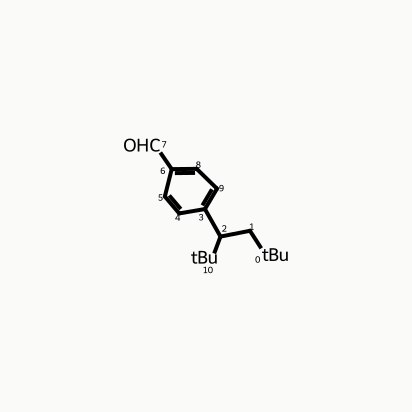 CC(C)(C)CC(c1ccc(C=O)cc1)C(C)(C)C